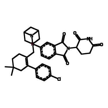 CC1(C)CCC(CN2CC3CC(C2)N3Cc2ccc3c(c2)C(=O)N(C2CCC(=O)NC2=O)C3=O)=C(c2ccc(Cl)cc2)C1